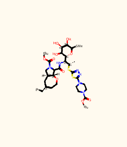 CSC1O[C@H]([C@H](NC(=O)C2[C@@H]3OCC[C@@H](CC(C)C)C[C@H]3CN2C(=O)OC(C)(C)C)[C@H](C)Sc2nnc(N3CCN(C(=O)OC(C)(C)C)CC3)s2)C(O)[C@@H](O)[C@H]1O